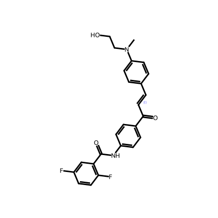 CN(CCO)c1ccc(/C=C/C(=O)c2ccc(NC(=O)c3cc(F)ccc3F)cc2)cc1